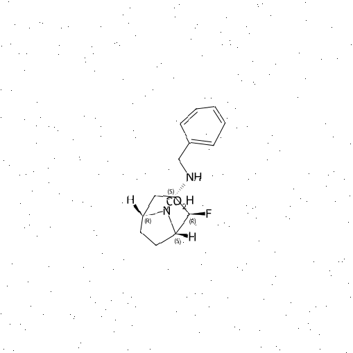 O=C(O)N1[C@@H]2CC[C@H]1[C@H](F)[C@@H](NCc1ccccc1)C2